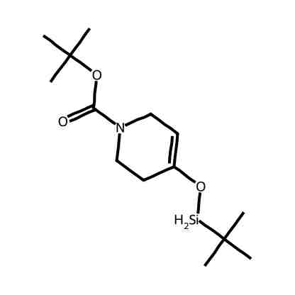 CC(C)(C)OC(=O)N1CC=C(O[SiH2]C(C)(C)C)CC1